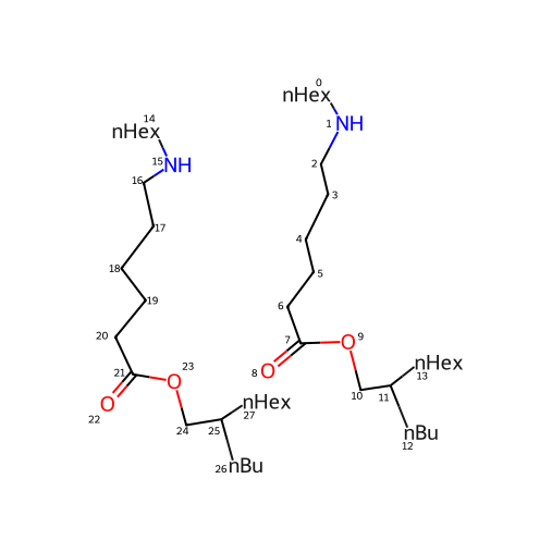 CCCCCCNCCCCCC(=O)OCC(CCCC)CCCCCC.CCCCCCNCCCCCC(=O)OCC(CCCC)CCCCCC